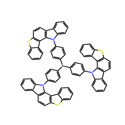 c1ccc2c(c1)sc1ccc3c4ccccc4n(-c4ccc(B(c5ccc(-n6c7ccccc7c7ccc8sc9ccccc9c8c76)cc5)c5ccc(-n6c7ccccc7c7ccc8sc9ccccc9c8c76)cc5)cc4)c3c12